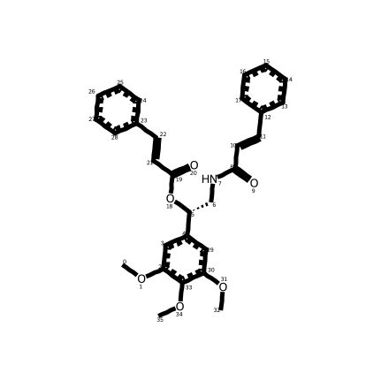 COc1cc([C@@H](CNC(=O)/C=C/c2ccccc2)OC(=O)/C=C/c2ccccc2)cc(OC)c1OC